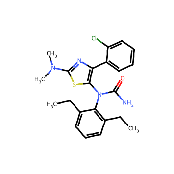 CCc1cccc(CC)c1N(C(N)=O)c1sc(N(C)C)nc1-c1ccccc1Cl